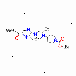 CC[C@H]1CN2C3N=CC(C(=O)OC)=NC3C[C@@H]2CN1C1CCN(C(=O)OC(C)(C)C)CC1